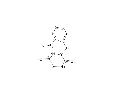 COc1ncccc1CC1NC(=O)CNC1=O